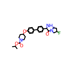 CC(C)OC(=O)N1CCC(Oc2ccc(-c3ccc(C(N)C(=O)N4CCC(F)C4)cc3)cc2)CC1